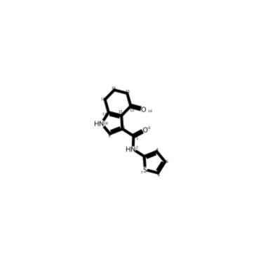 O=C(Nc1cccs1)c1c[nH]c2c1C(=O)CCC2